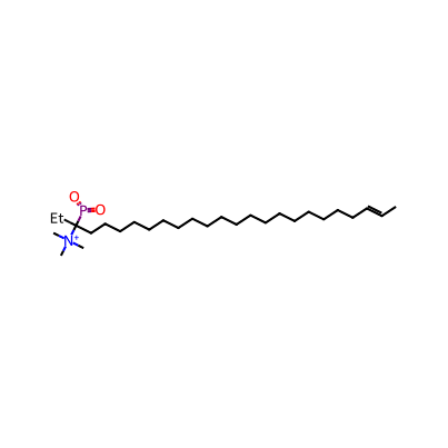 CC=CCCCCCCCCCCCCCCCCCCCC(CC)(P(=O)=O)[N+](C)(C)C